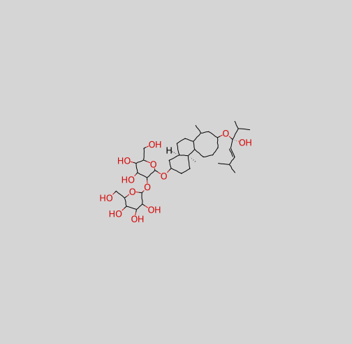 CC(C)/C=C/[C@@](O)(OC1CCCC2C(CC[C@@H]3CC(OC4OC(CO)C(O)C(O)C4OC4OC(CO)C(O)C(O)C4O)CC[C@]23C)C(C)C1)C(C)C